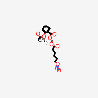 CC(=O)Oc1ccccc1C(=O)OCOC(=O)CCCCCON=O